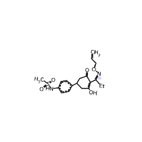 C=CCO/N=C(/CC)C1=C(O)CC(c2ccc(NS(C)(=O)=O)cc2)CC1=O